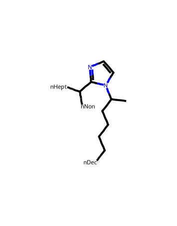 CCCCCCCCCCCCCCC(C)n1ccnc1C(CCCCCCC)CCCCCCCCC